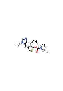 CC[C@@H]1C(Cc2cncn2C)CSC1OC(=O)N(C)C